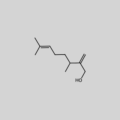 C=C(CO)C(C)CCC=C(C)C